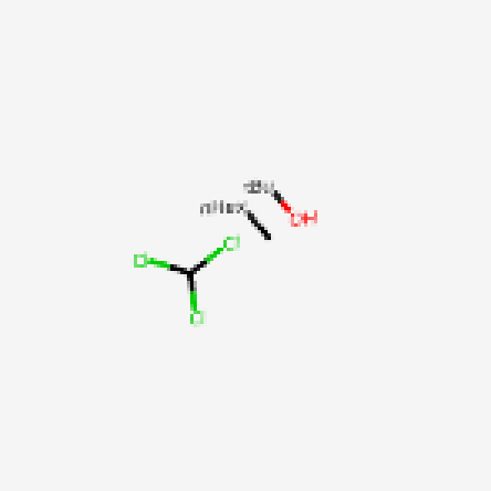 CC(C)(C)O.CCCCCCC.ClC(Cl)Cl